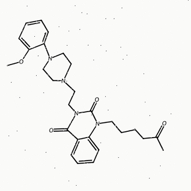 COc1ccccc1N1CCN(CCn2c(=O)c3ccccc3n(CCCCC(C)=O)c2=O)CC1